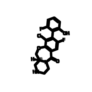 O=C1c2cc(F)c(-c3c(O)cccc3F)c(Cl)c2OC[C@H]2CNCCN12